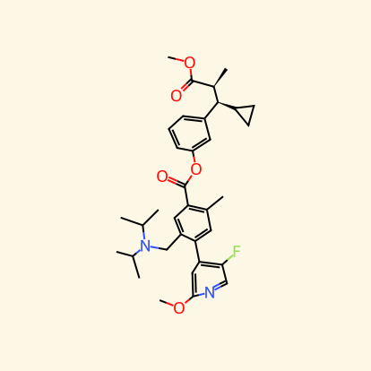 COC(=O)[C@@H](C)[C@H](c1cccc(OC(=O)c2cc(CN(C(C)C)C(C)C)c(-c3cc(OC)ncc3F)cc2C)c1)C1CC1